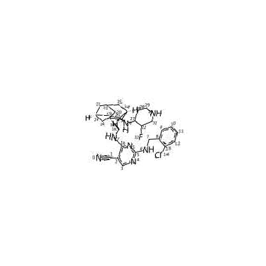 N#Cc1cnc(NCc2ccccc2Cl)nc1NC[C@]12CC3C[C@H](C1)[C@@H](NC1CCNCC1F)[C@@H](C3)C2